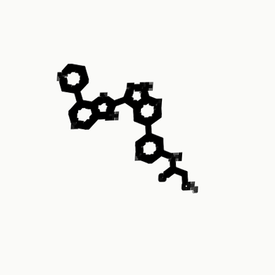 CCC(=O)Nc1cncc(-c2cnc3[nH]nc(-c4nc5c(-c6cccnc6)cncc5[nH]4)c3c2)c1